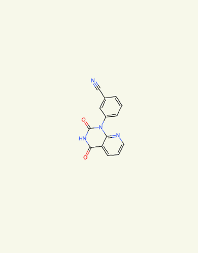 N#Cc1cccc(-n2c(=O)[nH]c(=O)c3cccnc32)c1